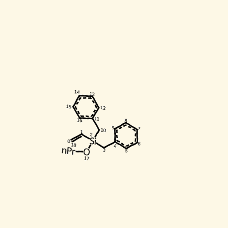 C=C[Si](Cc1ccccc1)(Cc1ccccc1)OCCC